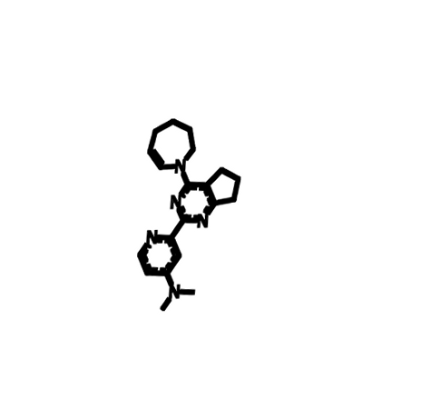 CN(C)c1ccnc(-c2nc3c(c(N4C=CCCCC4)n2)CCC3)c1